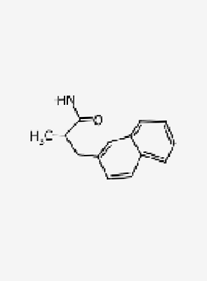 CC(Cc1ccc2ccccc2c1)C([NH])=O